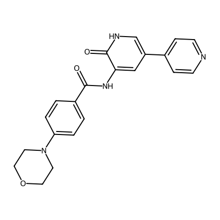 O=C(Nc1cc(-c2ccncc2)c[nH]c1=O)c1ccc(N2CCOCC2)cc1